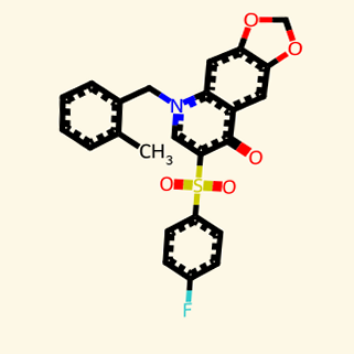 Cc1ccccc1Cn1cc(S(=O)(=O)c2ccc(F)cc2)c(=O)c2cc3c(cc21)OCO3